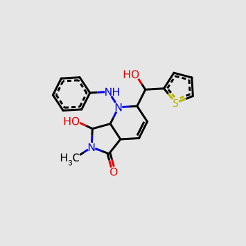 CN1C(=O)C2C=CC(C(O)c3cccs3)N(Nc3ccccc3)C2C1O